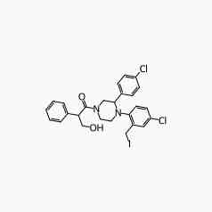 O=C(C(CO)c1ccccc1)N1CCN(c2ccc(Cl)cc2CI)C(c2ccc(Cl)cc2)C1